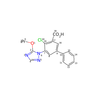 CC(C)Oc1ncnn1-c1cc(-c2ccccc2)cc(C(=O)O)c1Cl